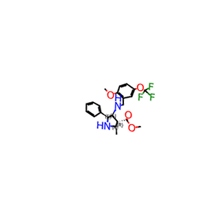 COC(=O)[C@H]1[C@H](NCc2cc(OC(F)(F)F)ccc2OC)[C@H](c2ccccc2)N[C@@H]1C